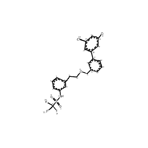 O=S(=O)(Nc1cccc(CCOCc2cccc(-c3cc(Cl)cc(Cl)c3)c2)c1)C(F)(F)F